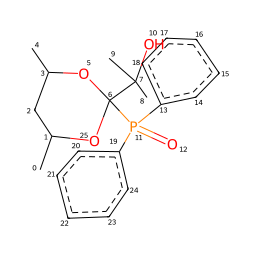 CC1CC(C)OC(C(C)(C)O)(P(=O)(c2ccccc2)c2ccccc2)O1